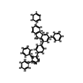 c1ccc(-c2ccc3oc4c(-c5ccc(-c6nnc(-c7ccccc7)n6-c6ccccc6)cc5)cc(-c5ccccc5)cc4c3c2)cc1